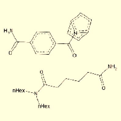 CCCCCCN(CCCCCC)C(=O)CCCCC(N)=O.NC(=O)c1ccc(C(=O)n2c3ccc2cc3)cc1